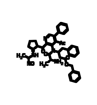 CC(=O)c1c(-c2ccccc2)cnc(C(=O)C2CCCN2NC(C)N=O)c1N(C(=O)[C@H](C)N)C(CC(=O)OCc1ccccc1)Cc1ccccc1